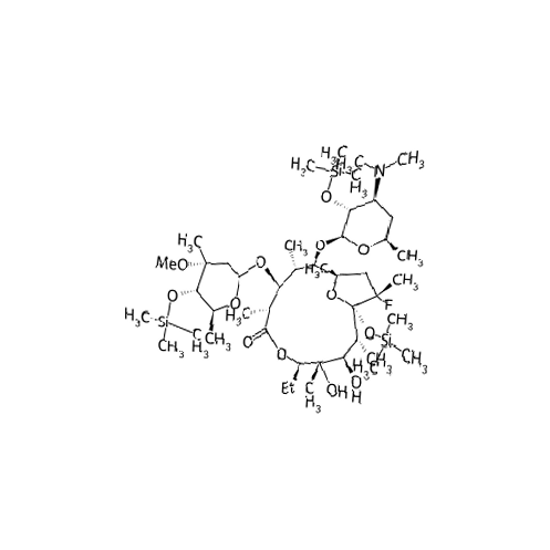 CC[C@H]1OC(=O)[C@H](C)[C@@H](OC2C[C@@](C)(OC)[C@@H](O[Si](C)(C)C)[C@H](C)O2)[C@H](C)[C@@H](O[C@@H]2O[C@H](C)C[C@H](N(C)C)[C@H]2O[Si](C)(C)C)[C@]2(C)C[C@](C)(F)[C@](O[Si](C)(C)C)(O2)[C@H](C)[C@@H](O)[C@]1(C)O